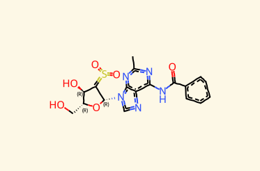 Cc1nc(NC(=O)c2ccccc2)c2ncn([C@@H]3O[C@H](CO)[C@@H](O)C3=S(=O)=O)c2n1